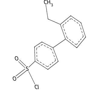 CCc1ccccc1-c1ccc(S(=O)(=O)Cl)cc1